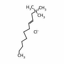 CCCCCCCC=CC[N+](C)(C)C.[Cl-]